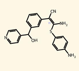 N#C/C(=C(\N)Sc1ccc(N)cc1)c1cccc(C(O)c2ccncc2)c1